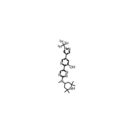 [2H]C([2H])([2H])n1cc(-c2cnc(-c3cnc(N(C)C4CC(C)(C)NC(C)(C)C4)nn3)c(O)c2)cn1